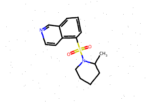 CC1CCCCN1S(=O)(=O)c1cccc2cnccc12